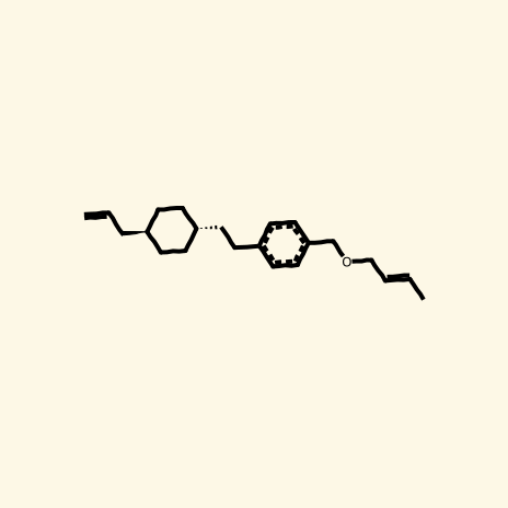 C=CC[C@H]1CC[C@H](CCc2ccc(COCC=CC)cc2)CC1